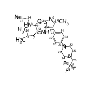 Cc1nsc(N[C@@H](CC(C)C)C(=O)NCC#N)c1-c1ccc(N2CCN(CC(F)(F)F)CC2)cc1